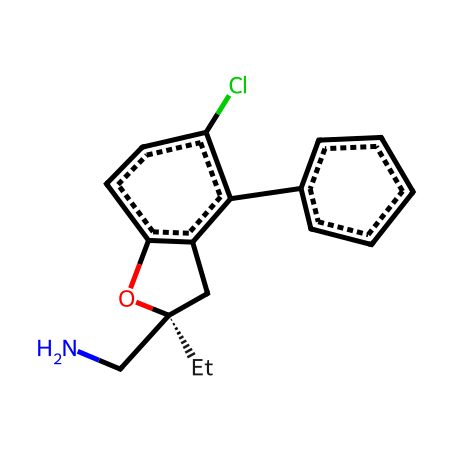 CC[C@@]1(CN)Cc2c(ccc(Cl)c2-c2ccccc2)O1